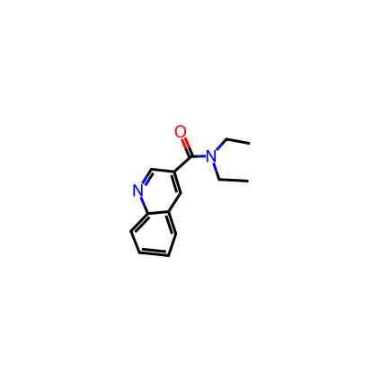 CCN(CC)C(=O)c1cnc2ccccc2c1